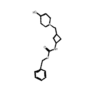 O=C(NC1CC(CN2CCC(O)CC2)C1)OCc1ccccc1